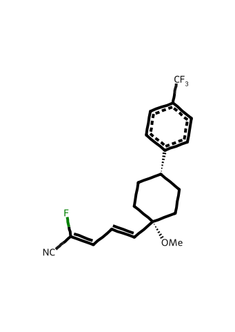 CO[C@]1(C=CC=C(F)C#N)CC[C@H](c2ccc(C(F)(F)F)cc2)CC1